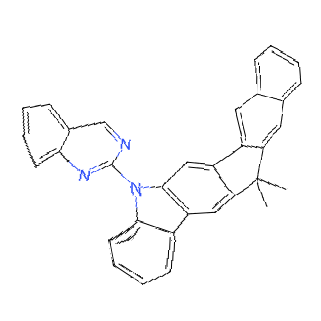 CC1(C)c2cc3ccccc3cc2-c2cc3c(cc21)c1ccccc1n3-c1ncc2ccccc2n1